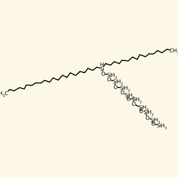 CCCCCCCCCCCCCCCCCCCCCC[SiH](CCCCCCCCCCCCCCCC)O[SiH2]O[SiH2]O[SiH2]O[SiH2]O[SiH2]O[SiH2]O[SiH2]O[SiH2]O[SiH3]